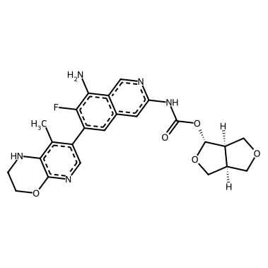 Cc1c(-c2cc3cc(NC(=O)O[C@H]4OC[C@@H]5COC[C@@H]54)ncc3c(N)c2F)cnc2c1NCCO2